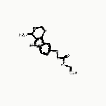 CCOC(=O)CNC(=O)COc1ccc2[nH]c3c(c2c1)CCNC3C(=O)O